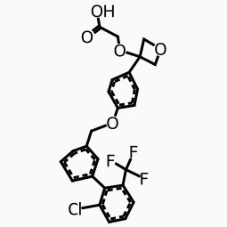 O=C(O)COC1(c2ccc(OCc3cccc(-c4c(Cl)cccc4C(F)(F)F)c3)cc2)COC1